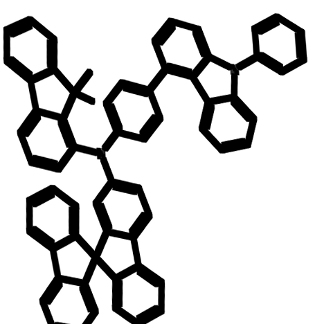 CC1(C)c2ccccc2-c2cccc(N(c3ccc(-c4cccc5c4c4ccccc4n5-c4ccccc4)cc3)c3ccc4c(c3)C3(c5ccccc5-c5ccccc53)c3ccccc3-4)c21